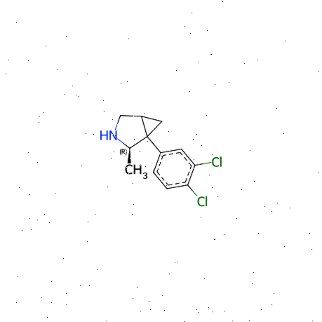 C[C@H]1NCC2CC21c1ccc(Cl)c(Cl)c1